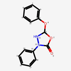 O=C1OC(Oc2ccccc2)NN1c1ccccc1